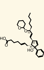 CCCCC[C@@H](C=C[C@H]1C=C[C@@](O)(c2ccccc2)[C@@H]1CC=CCCCC(=O)O)OC1CCCCO1